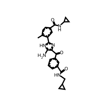 Cc1ccc(C(=O)NC2CC2)cc1-c1nc(C(=O)c2cccc(C(=O)NCC3CC3)c2)c(N)[nH]1